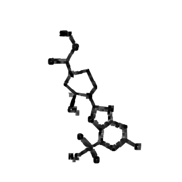 C[C@H]1CN(C(=O)OC(C)(C)C)CCN1c1nc2cc(Cl)cc(S(C)(=O)=O)c2o1